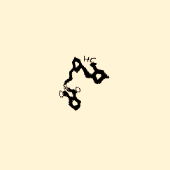 C#Cc1ccccc1C=Cc1cccc(CCCN2C(=O)c3ccccc3C2=O)c1